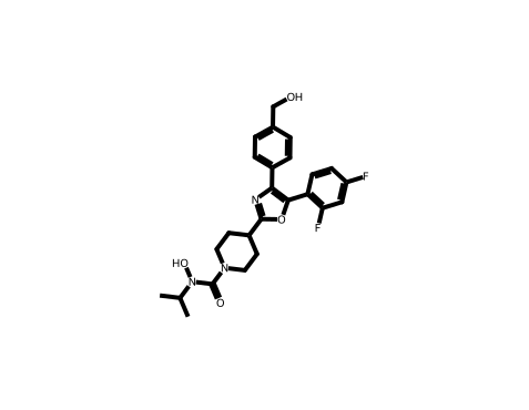 CC(C)N(O)C(=O)N1CCC(c2nc(-c3ccc(CO)cc3)c(-c3ccc(F)cc3F)o2)CC1